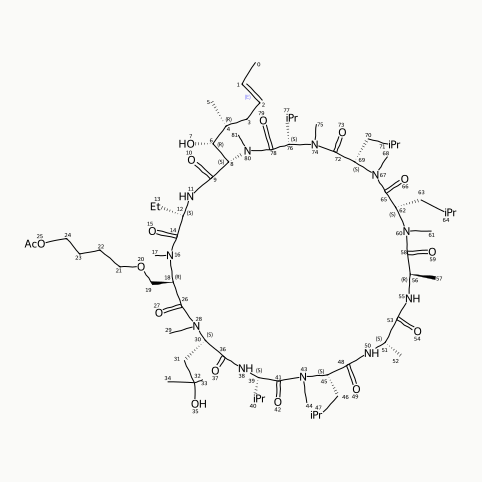 C/C=C/C[C@@H](C)[C@@H](O)[C@H]1C(=O)N[C@@H](CC)C(=O)N(C)[C@H](COCCCCOC(C)=O)C(=O)N(C)[C@@H](CC(C)(C)O)C(=O)N[C@@H](C(C)C)C(=O)N(C)[C@@H](CC(C)C)C(=O)N[C@@H](C)C(=O)N[C@H](C)C(=O)N(C)[C@@H](CC(C)C)C(=O)N(C)[C@@H](CC(C)C)C(=O)N(C)[C@@H](C(C)C)C(=O)N1C